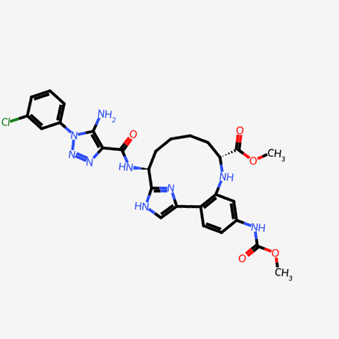 COC(=O)Nc1ccc2c(c1)N[C@@H](C(=O)OC)CCCC[C@H](NC(=O)c1nnn(-c3cccc(Cl)c3)c1N)c1nc-2c[nH]1